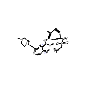 C=N/C(Nc1cc(NS(=O)(=O)CC(C)C)ccc1C)=C1/N=C(N2CCN(C)CC2)N=C/C1=N/C